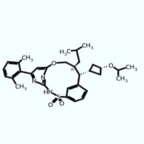 Cc1cccc(C)c1-c1cc2nc(n1)NS(=O)(=O)c1cccc(c1)C([C@H]1C[C@@H](OC(C)C)C1)[C@H](CC(C)C)CO2